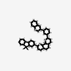 CC1(C)c2ccccc2-c2ccc(-c3ccc4ccc5ccc(-c6cccc(-c7cnc8ccccc8c7)c6)nc5c4n3)cc21